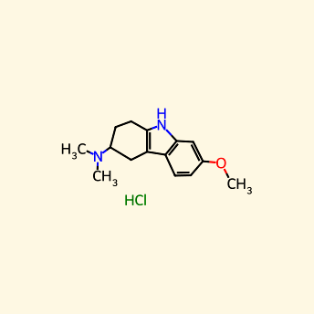 COc1ccc2c3c([nH]c2c1)CCC(N(C)C)C3.Cl